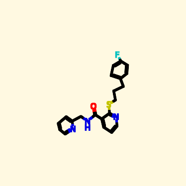 O=C(NCc1ccccn1)c1cccnc1SCCCc1ccc(F)cc1